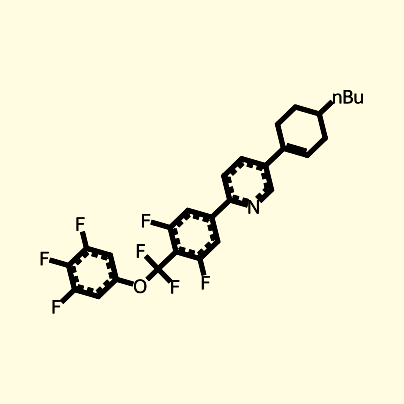 CCCCC1CC=C(c2ccc(-c3cc(F)c(C(F)(F)Oc4cc(F)c(F)c(F)c4)c(F)c3)nc2)CC1